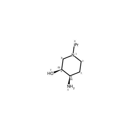 CC(C)N1CC[C@@H](N)[C@@H](O)C1